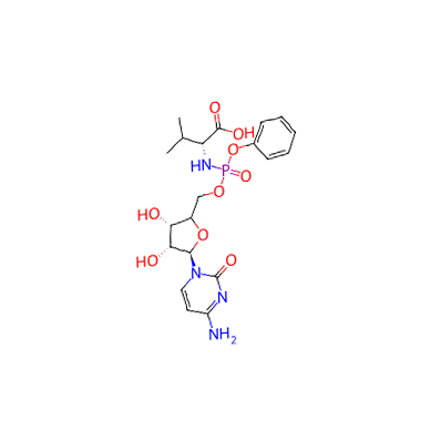 CC(C)[C@@H](NP(=O)(OCC1O[C@@H](n2ccc(N)nc2=O)[C@H](O)[C@@H]1O)Oc1ccccc1)C(=O)O